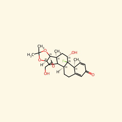 CC1(C)O[C@@H]2CC3[C@@H]4CCC5=CC(=O)C=C[C@]5(C)[C@@]4(F)[C@@H](O)C[C@]3(C)[C@]2(C(=O)CO)O1